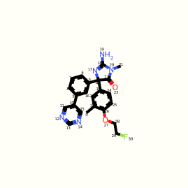 Cc1cc(C2(c3cccc(-c4cncnc4)c3)N=C(N)N(C)C2=O)ccc1OCCF